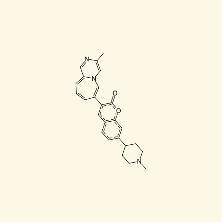 CC1=CN2C=C(c3cc4ccc(C5CCN(C)CC5)cc4oc3=O)C=CC=C2C=N1